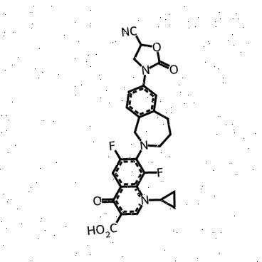 N#CC1CN(c2ccc3c(c2)CCCN(c2c(F)cc4c(=O)c(C(=O)O)cn(C5CC5)c4c2F)C3)C(=O)O1